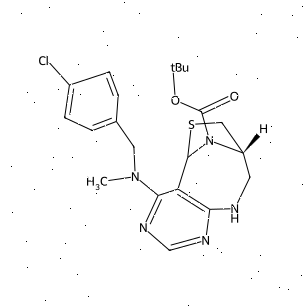 CN(Cc1ccc(Cl)cc1)c1ncnc2c1C1SC[C@H](CN2)N1C(=O)OC(C)(C)C